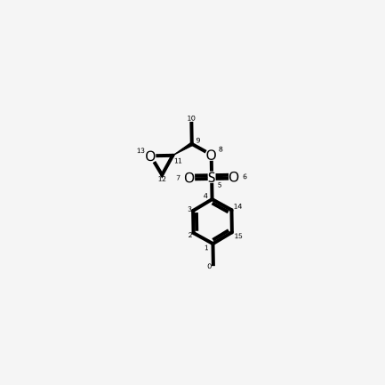 Cc1ccc(S(=O)(=O)OC(C)[C@H]2CO2)cc1